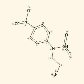 NCCN(c1ccc([N+](=O)[O-])cc1)[SH](=O)=O